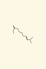 C=C(CC)CCCCC=CC(C)C